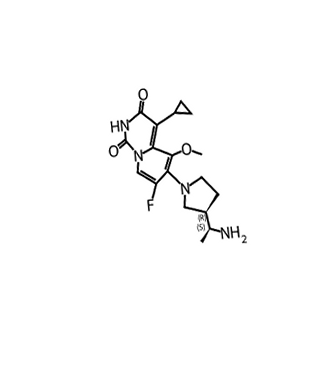 COc1c(N2CC[C@@H]([C@H](C)N)C2)c(F)cn2c(=O)[nH]c(=O)c(C3CC3)c12